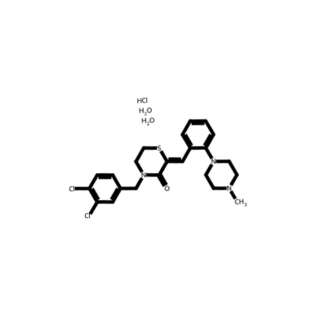 CN1CCN(c2ccccc2/C=C2\SCCN(Cc3ccc(Cl)c(Cl)c3)C2=O)CC1.Cl.O.O